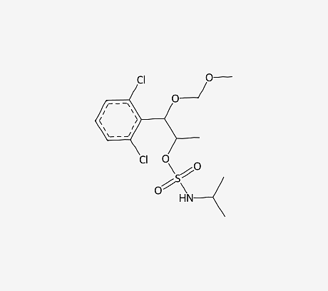 COCOC(c1c(Cl)cccc1Cl)C(C)OS(=O)(=O)NC(C)C